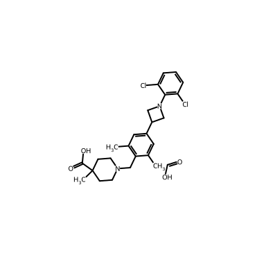 Cc1cc(C2CN(c3c(Cl)cccc3Cl)C2)cc(C)c1CN1CCC(C)(C(=O)O)CC1.O=CO